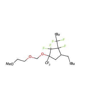 COCCOCOC1(C(F)(F)F)CC(CC(C)(C)C)C(F)(C(F)(F)C(C)(C)C)C1(F)F